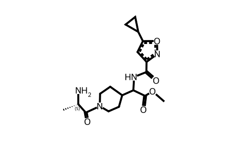 COC(=O)C(NC(=O)c1cc(C2CC2)on1)C1CCN(C(=O)[C@H](C)N)CC1